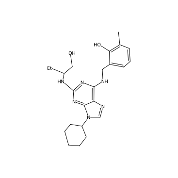 CCC(CO)Nc1nc(NCc2cccc(C)c2O)c2ncn(C3CCCCC3)c2n1